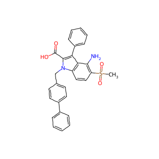 CS(=O)(=O)c1ccc2c(c1N)c(-c1ccccc1)c(C(=O)O)n2Cc1ccc(-c2ccccc2)cc1